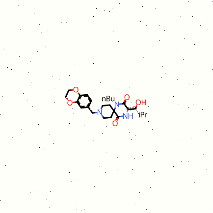 CCCCN1C(=O)[C@H]([C@H](O)C(C)C)NC(=O)C12CCN(Cc1ccc3c(c1)OCCO3)CC2